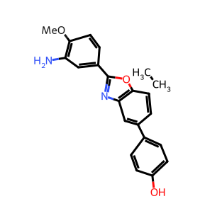 CC.COc1ccc(-c2nc3cc(-c4ccc(O)cc4)ccc3o2)cc1N